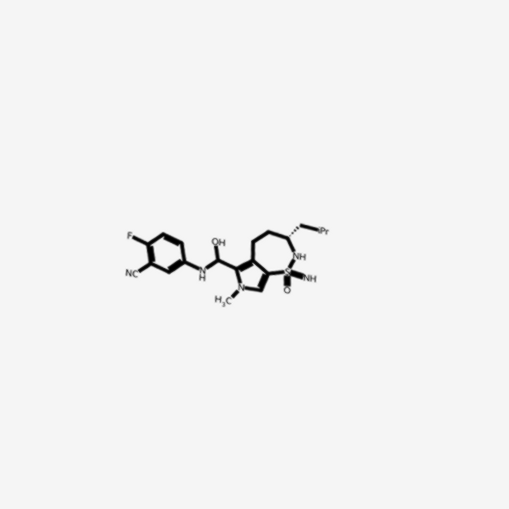 CC(C)C[C@H]1CCc2c(cn(C)c2C(O)Nc2ccc(F)c(C#N)c2)S(=N)(=O)N1